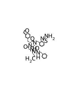 C=CCN(C(=O)NCc1ccccc1)N1CC(=O)N2[C@@H](Cc3ccc4occc4c3)C(=O)N(Cc3cccc4sc(N)nc34)C[C@@H]21